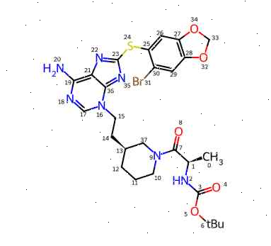 C[C@@H](NC(=O)OC(C)(C)C)C(=O)N1CCC[C@@H](CCn2cnc(N)c3nc(Sc4cc5c(cc4Br)OCO5)nc2-3)C1